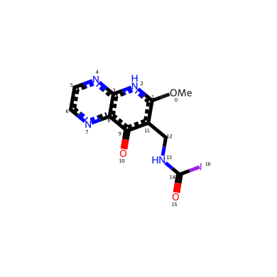 COc1[nH]c2nccnc2c(=O)c1CNC(=O)I